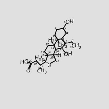 CC[C@@H]1C2C[C@H](O)CCC2(C)[C@H]2CCC3(C)[C@@H]([C@H](C)CC(=O)O)CC[C@H]3C2[C@@H]1O